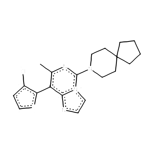 Cc1nc(N2CCC3(CCCC3)CC2)n2ccnc2c1-c1sccc1Cl